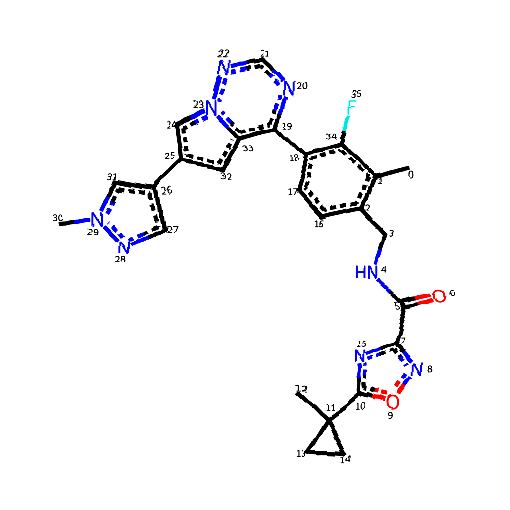 Cc1c(CNC(=O)c2noc(C3(C)CC3)n2)ccc(-c2ncnn3cc(-c4cnn(C)c4)cc23)c1F